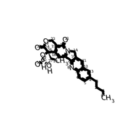 CCCCc1ccc2nc3c(cc2c1)Cn1c-3cc2c(c1=O)COC(=O)[C@@]2(CC)O[PH](=O)O